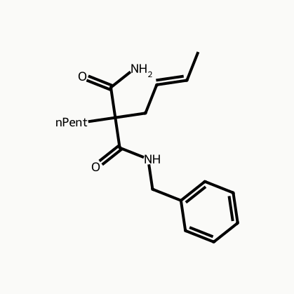 C/C=C/CC(CCCCC)(C(N)=O)C(=O)NCc1ccccc1